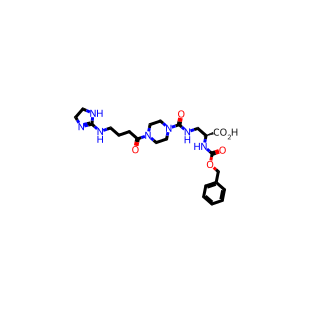 O=C(N[C@@H](CNC(=O)N1CCN(C(=O)CCCNC2=NCCN2)CC1)C(=O)O)OCc1ccccc1